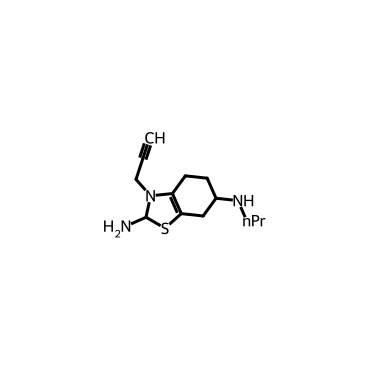 C#CCN1C2=C(CC(NCCC)CC2)SC1N